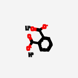 O=C([O-])c1ccccc1C(=O)[O-].[H+].[Li+]